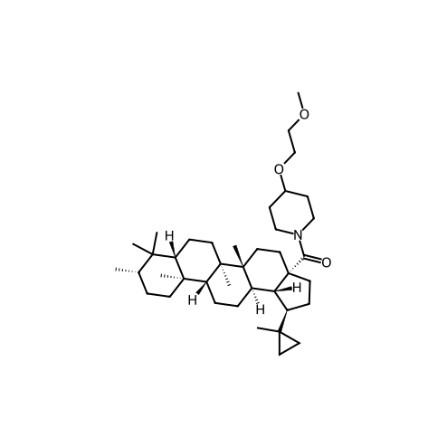 COCCOC1CCN(C(=O)[C@]23CC[C@@H](C4(C)CC4)[C@@H]2[C@H]2CC[C@@H]4[C@@]5(C)CC[C@H](C)C(C)(C)[C@@H]5CC[C@@]4(C)[C@]2(C)CC3)CC1